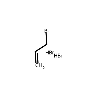 Br.Br.[B]CC=C